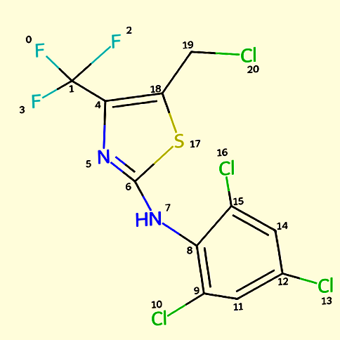 FC(F)(F)c1nc(Nc2c(Cl)cc(Cl)cc2Cl)sc1CCl